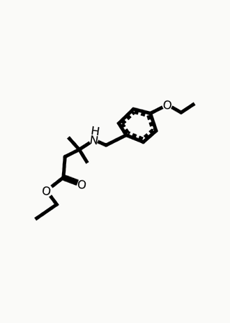 CCOC(=O)CC(C)(C)NCc1ccc(OCC)cc1